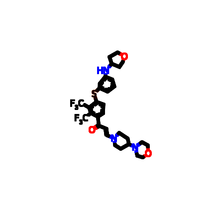 O=C(C=CN1CCC(N2CCOCC2)CC1)c1ccc(Sc2cccc(NC3CCOCC3)c2)c(C(F)(F)F)c1C(F)(F)F